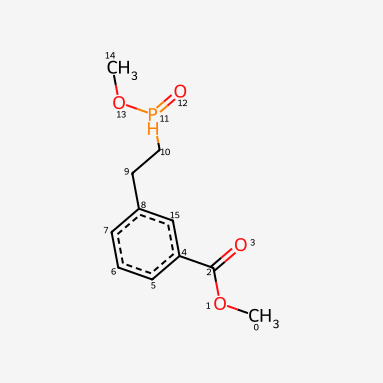 COC(=O)c1cccc(CC[PH](=O)OC)c1